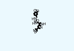 Cn1cc(-c2cnc3[nH]cc(C4NN=C(NCc5ccc6c(c5)OCO6)O4)c3c2)cn1